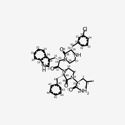 CC(C)C[C@@H](C(N)=O)N1CCN(C(=O)[C@H](Cc2c[nH]c3ccccc23)N2CCN[C@@H](Cc3cccc(Cl)c3)C2=O)[C@@H](Cc2ccccc2)C1=O